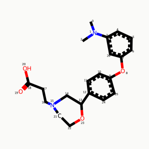 CN(C)c1cccc(Oc2ccc(C3CN(CCC(=O)O)CCO3)cc2)c1